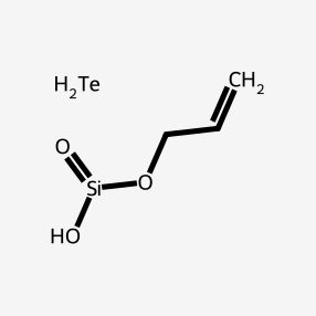 C=CCO[Si](=O)O.[TeH2]